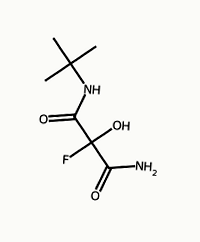 CC(C)(C)NC(=O)C(O)(F)C(N)=O